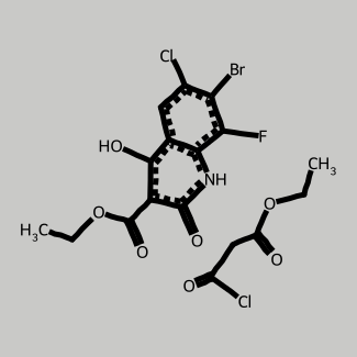 CCOC(=O)CC(=O)Cl.CCOC(=O)c1c(O)c2cc(Cl)c(Br)c(F)c2[nH]c1=O